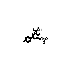 CCN(C(=O)C(CCCN=S(=O)=O)c1ccc(C)cc1)C(=S)NC